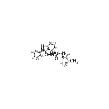 CC(C)c1cnc([AsH]C(=O)Nc2ccccc2C(=O)Nc2ccccc2)s1